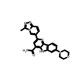 Cc1nnc2ccc(-c3cc(C(N)=O)c4[nH]c5cc(N6CCOCC6)ccc5c4n3)cn12